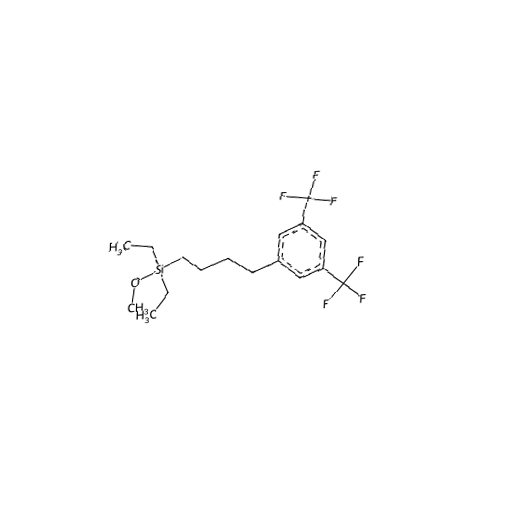 CC[Si](CC)(CCCCc1cc(C(F)(F)F)cc(C(F)(F)F)c1)OC